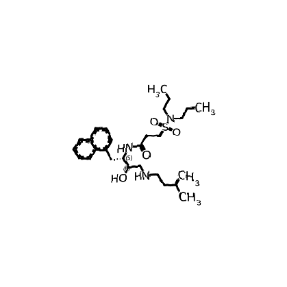 CCCN(CCC)S(=O)(=O)CCC(=O)N[C@@H](Cc1cccc2ccccc12)[C@H](O)CNCCC(C)C